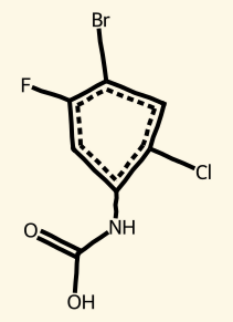 O=C(O)Nc1cc(F)c(Br)cc1Cl